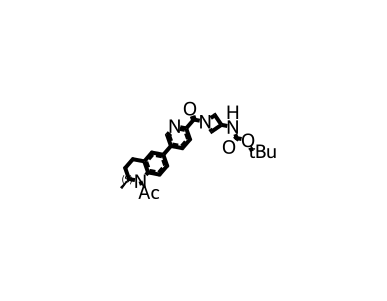 CC(=O)N1c2ccc(-c3ccc(C(=O)N4CC(NC(=O)OC(C)(C)C)C4)nc3)cc2CC[C@@H]1C